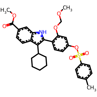 COCOc1cc(OS(=O)(=O)c2ccc(C)cc2)ccc1-c1[nH]c2cc(C(=O)OC)ccc2c1C1CCCCC1